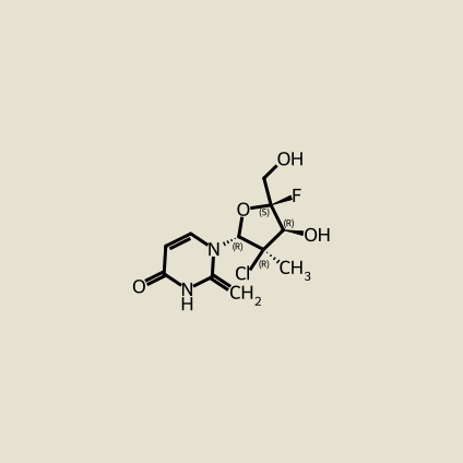 C=C1NC(=O)C=CN1[C@@H]1O[C@](F)(CO)[C@@H](O)[C@@]1(C)Cl